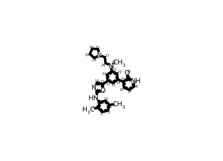 Cc1ccc(C)c(Nc2ncc(-c3cc(-c4ccc[nH]c4=O)cc(N(C)CCN4CCCC4)c3)o2)c1